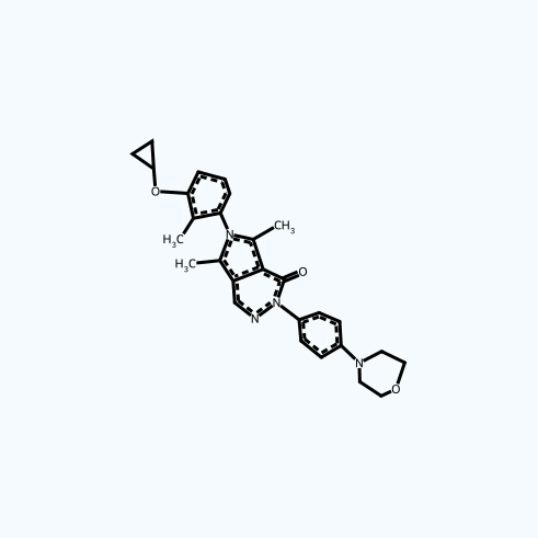 Cc1c(OC2CC2)cccc1-n1c(C)c2cnn(-c3ccc(N4CCOCC4)cc3)c(=O)c2c1C